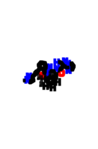 [2H]c1c([2H])c([2H])c(-n2c([C@H](C)NC(=O)c3c(C)nn4cccnc34)nc3cccc(C#Cc4ccn(C)n4)c3c2=O)c([2H])c1[2H]